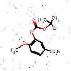 CCC(C)(C)OC(=O)Oc1cc(C(=O)O)ccc1OC(F)(F)F